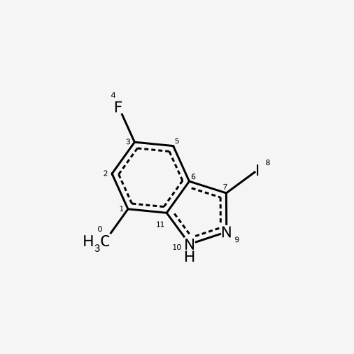 Cc1cc(F)cc2c(I)n[nH]c12